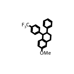 COc1ccc2c(c1)CCC(c1ccccc1)C2c1ccc(C(F)(F)F)cc1